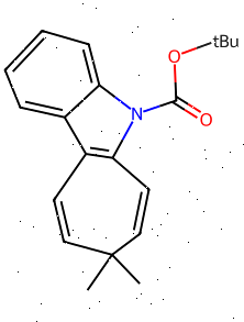 CC1(C)C=Cc2c(n(C(=O)OC(C)(C)C)c3ccccc23)C=C1